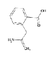 C=C(N)Cc1ccccc1C(=O)O